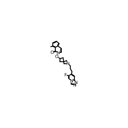 Cc1cccc2ccn(OC3CC4(C3)CN(CCCc3cc5nncn5cc3F)C4)c(=O)c12